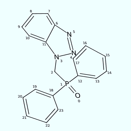 O=P(Cn1nnc2ccccc21)(c1ccccc1)c1ccccc1